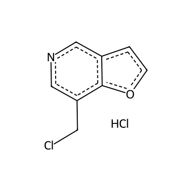 Cl.ClCc1cncc2ccoc12